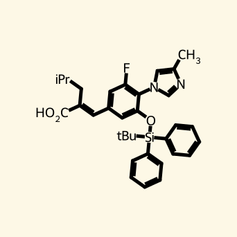 Cc1cn(-c2c(F)cc(/C=C(\CC(C)C)C(=O)O)cc2O[Si](c2ccccc2)(c2ccccc2)C(C)(C)C)cn1